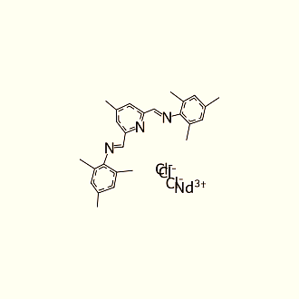 Cc1cc(C=Nc2c(C)cc(C)cc2C)nc(C=Nc2c(C)cc(C)cc2C)c1.[Cl-].[Cl-].[Cl-].[Nd+3]